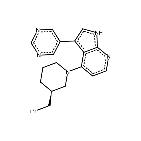 CC(C)C[C@H]1CCCN(c2ccnc3[nH]cc(-c4cncnc4)c23)C1